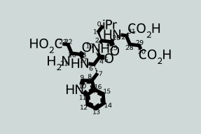 CC(C)C[C@H](NC(=O)[C@H](Cc1c[nH]c2ccccc12)NC(=O)[C@@H](N)CC(=O)O)C(=O)N[C@@H](CCC(=O)O)C(=O)O